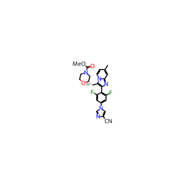 COC(=O)N1CCO[C@@H](Cc2c(-c3c(F)cc(-n4cnc(C#N)c4)cc3F)nc3cc(C)ccn23)C1